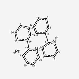 [Pt].c1ccc(-c2ccccn2)cc1.c1ccc(-c2ccccn2)cc1